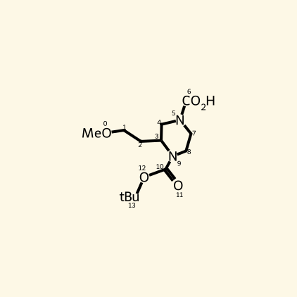 COCCC1CN(C(=O)O)CCN1C(=O)OC(C)(C)C